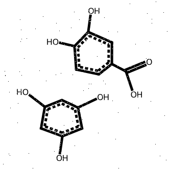 O=C(O)c1ccc(O)c(O)c1.Oc1cc(O)cc(O)c1